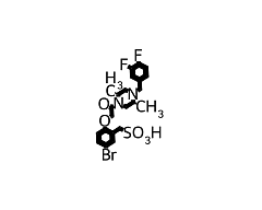 C[C@@H]1CN(Cc2ccc(F)c(F)c2)[C@@H](C)CN1C(=O)COc1ccc(Br)cc1CS(=O)(=O)O